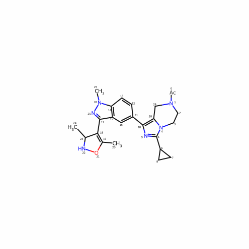 CC(=O)N1CCn2c(C3CC3)nc(-c3ccc4c(c3)c(C3=C(C)ONC3C)nn4C)c2C1